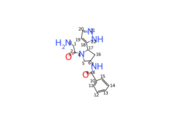 NCC(=O)N1CC(NC(=O)c2ccccc2)CC1c1ccn[nH]1